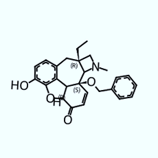 CC[C@]12Cc3ccc(O)c4c3C3[C@@H](O4)C(=O)C=C[C@@]3(OCc3ccccc3)C1N(C)C2